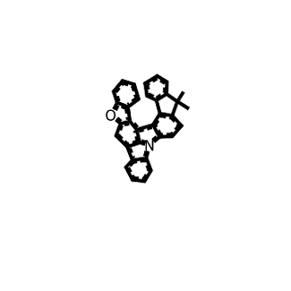 CC1(C)c2ccccc2-c2c1ccc1c2c2c3c(cc4c5ccccc5n1c42)oc1ccccc13